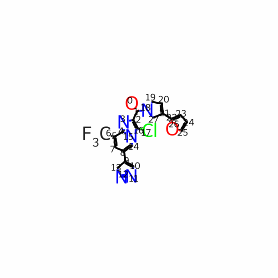 O=C(c1nc2c(C(F)(F)F)cc(C3=CN=NC3)cn2c1Cl)N1CC=C(c2ccco2)C1